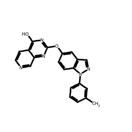 Cc1cccc(-n2ncc3cc(Oc4nc(O)c5ccncc5n4)ccc32)c1